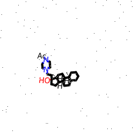 CC(=O)N1CCN(CC[C@@]2(O)CC[C@H]3[C@@H]4CCC5CCCC[C@]5(C)[C@H]4CC[C@@]32C)CC1